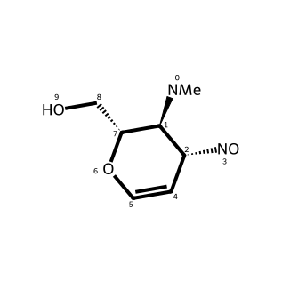 CN[C@H]1[C@H](N=O)C=CO[C@@H]1CO